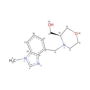 Cn1cnc2c(CN3CCOC[C@@H]3CO)cccc21